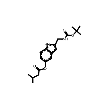 CC(C)CC(=O)Oc1ccc2[nH]c(CNC(=O)OC(C)(C)C)cc2c1